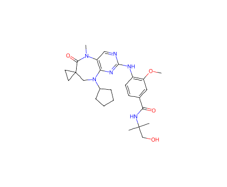 COc1cc(C(=O)NC(C)(C)CO)ccc1Nc1ncc2c(n1)N(C1CCCC1)CC1(CC1)C(=O)N2C